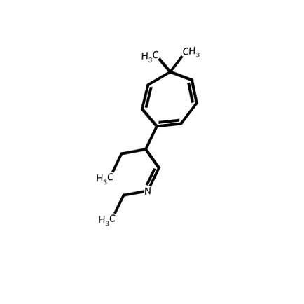 CC/N=C\C(CC)C1=CC=CC(C)(C)C=C1